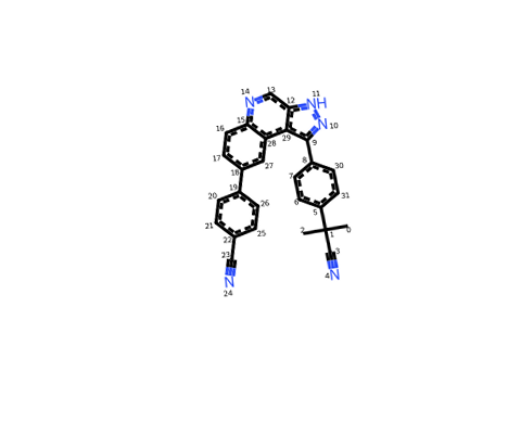 CC(C)(C#N)c1ccc(-c2n[nH]c3cnc4ccc(-c5ccc(C#N)cc5)cc4c23)cc1